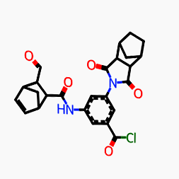 O=CC1C2C=CC(C2)C1C(=O)Nc1cc(C(=O)Cl)cc(N2C(=O)C3C4CCC(C4)C3C2=O)c1